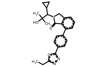 CCc1nnc(-c2ccc(-c3cccc4c3C(=O)N(C(C3CC3)C(C)(C)O)C4)cc2)o1